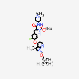 Cc1cn(COCC[Si](C)(C)C)c2nccc(Oc3ccc(C[C@H](NC(=O)OC(C)(C)C)C(=O)NC4CCN(C)CC4)cc3F)c12